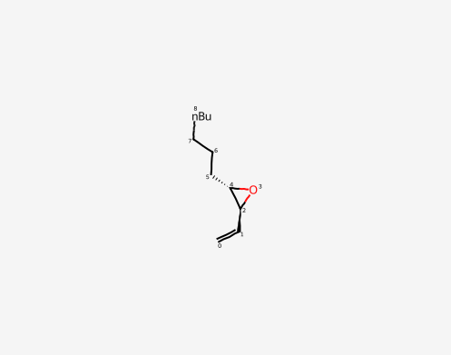 C=C[C@@H]1O[C@H]1CCCCCCC